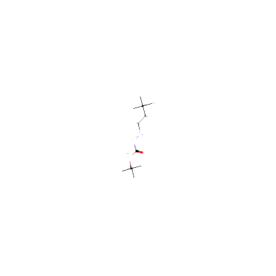 CC(C)(C)CCNNC(=O)OC(C)(C)C